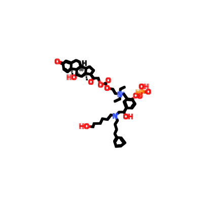 CC[N+](CC)(CCOC(=O)OCC(=O)C1CCC2[C@@H]3CCC4=CC(=O)C=C[C@]4(C)C3[C@@H](O)C[C@]12C)Cc1cc(C(O)CN(CCCCCCO)CCCCc2ccccc2)ccc1OO[PH](=O)O